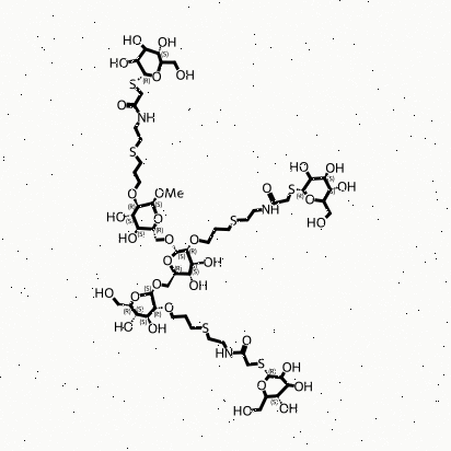 CO[C@H]1O[C@H](CO[C@H]2O[C@H](CO[C@H]3O[C@H](CO)[C@@H](O)[C@H](O)[C@H]3OCCCSCCNC(=O)CS[C@H]3OC(CO)[C@@H](O)C(O)C3O)[C@@H](O)[C@H](O)[C@H]2OCCCSCCNC(=O)CS[C@H]2OC(CO)[C@@H](O)[C@H](O)C2O)[C@@H](O)[C@H](O)[C@H]1OCCCSCCNC(=O)CS[C@H]1OC(CO)[C@@H](O)C(O)C1O